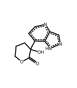 O=C1OCCCC1(O)c1ccnc2cn[nH]c12